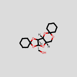 OC[C@@]12O[C@H]3COC4(CCCCC4)O[C@H]3[C@@H]1OC1(CCCCC1)O2